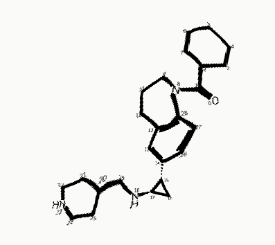 O=C(C1CCCCC1)N1CCCc2cc([C@@H]3C[C@H]3NCC3CCNCC3)ccc21